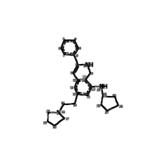 C1=C(c2ccccc2)NCc2c1cc(CCN1CCCC1)cc2NC1CCCC1